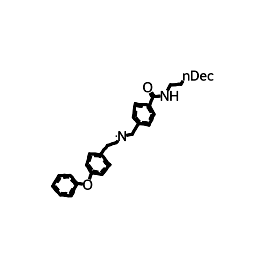 CCCCCCCCCCCCNC(=O)c1ccc(C[N]CCc2ccc(Oc3ccccc3)cc2)cc1